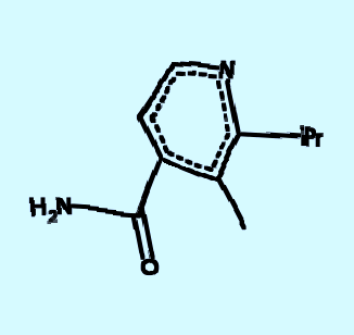 Cc1c(C(N)=O)ccnc1C(C)C